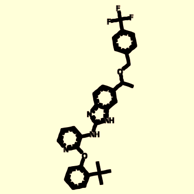 CC(OCc1ccc(C(F)(F)F)cc1)c1ccc2nc(Nc3cccnc3Oc3ccccc3C(C)(C)C)[nH]c2c1